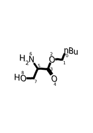 CCCCCOC(=O)C(N)CO